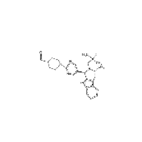 C[C@@H]1Cc2c([nH]c3ccccc23)[C@@H](c2cnc(N3CCC(C=O)CC3)nc2)N1CC(C)(C)F